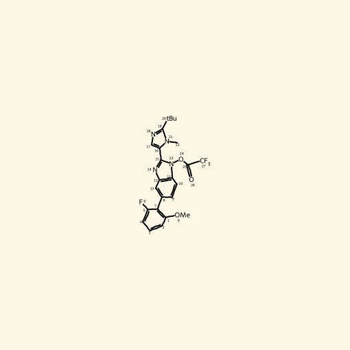 COc1cccc(F)c1-c1ccc2c(c1)nc(-c1cnc(C(C)(C)C)n1C)n2OC(=O)C(F)(F)F